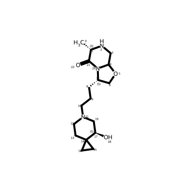 C[C@@H]1NCC2OC[C@H](CCCN3CCC4(CC4)[C@H](O)C3)N2C1=O